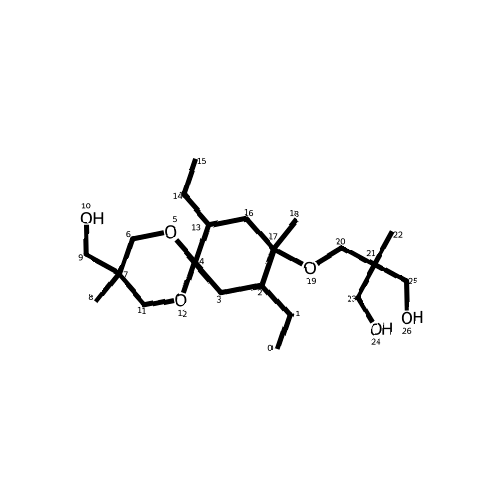 CCC1CC2(OCC(C)(CO)CO2)C(CC)CC1(C)OCC(C)(CO)CO